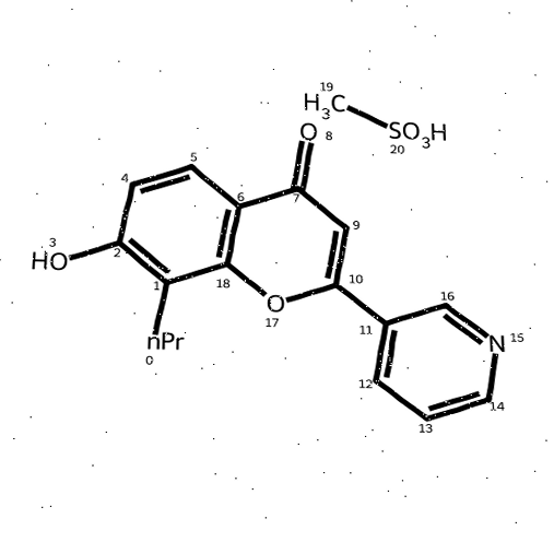 CCCc1c(O)ccc2c(=O)cc(-c3cccnc3)oc12.CS(=O)(=O)O